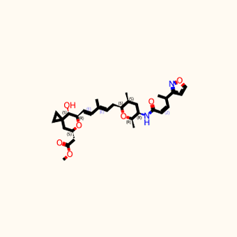 COC(=O)C[C@@H]1CC2(CC2)[C@H](O)[C@@H](/C=C/C(C)=C/C[C@@H]2O[C@H](C)[C@H](NC(=O)/C=C\C(C)c3ccon3)C[C@@H]2C)O1